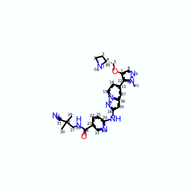 CN1CC[C@@H]1COc1cnn(C)c1-c1ccn2nc(Nc3ccc(C(=O)NCC(C)(C)C#N)cn3)cc2c1